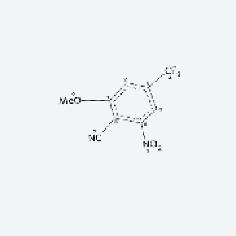 COc1cc(C(F)(F)F)cc([N+](=O)[O-])c1C#N